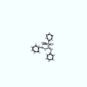 O=S(=O)(c1ccccc1)N(Cc1ccccc1)C[C@@H](O)c1ccccc1